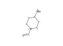 C=CN1CCC(C(C)(C)C)CC1